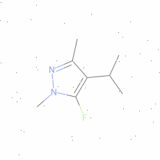 Cc1nn(C)c(F)c1C(C)C